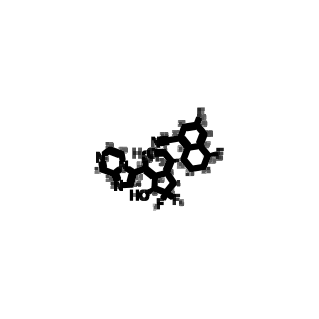 C=C/C(=C1/CC(F)(F)[C@@H](O)/C1=C(/C)c1cnc2cnccn12)[C@H]1CC[C@H](F)c2cc(F)cc(C#N)c21